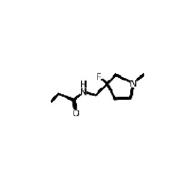 CCC(=O)NCC1(F)CCN(C)C1